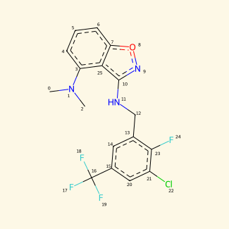 CN(C)c1cccc2onc(NCc3cc(C(F)(F)F)cc(Cl)c3F)c12